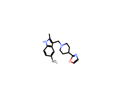 Cc1[nH]c2ccc([N+](=O)[O-])cc2c1CN1CCC(c2ncco2)CC1